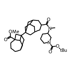 COC(=O)C12CCCC3CC1C(C14CC5CC(C(=O)N(C)C6CCCN(C(=O)OC(C)(C)C)C6)CC(C1)C(C5)C4)(C3)C2